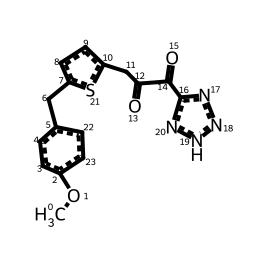 COc1ccc(Cc2ccc(CC(=O)C(=O)c3nn[nH]n3)s2)cc1